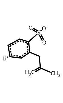 C=C(C)Cc1ccccc1S(=O)(=O)[O-].[Li+]